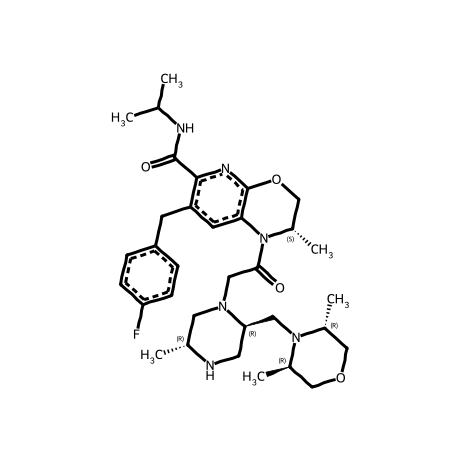 CC(C)NC(=O)c1nc2c(cc1Cc1ccc(F)cc1)N(C(=O)CN1C[C@@H](C)NC[C@@H]1CN1[C@H](C)COC[C@H]1C)[C@@H](C)CO2